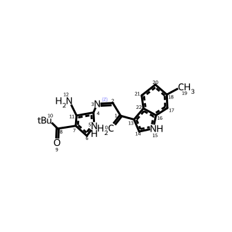 C=C(/C=N\c1[nH]cc(C(=O)C(C)(C)C)c1N)c1c[nH]c2cc(C)ccc12